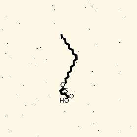 CCCCCCCC/C=C\CCCCCCCCOc1ccc(C(=O)O)s1